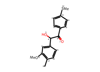 COc1cc(C(O)C(=O)c2ccc(SC)cc2)ccc1C